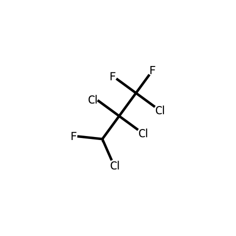 F[C](Cl)C(Cl)(Cl)C(F)(F)Cl